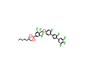 CCCCCC1COC(c2cc(F)c(C(F)(F)Oc3ccc(-c4ccc(-c5cc(F)c(F)c(F)c5)c(F)c4)c(F)c3)c(F)c2)OC1